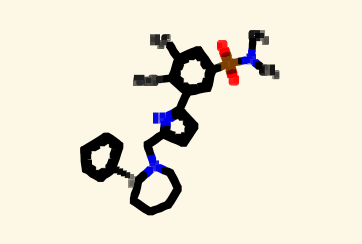 COc1c(C)cc(S(=O)(=O)N(C)C)cc1-c1ccc(CN2CCCCC[C@@H]2c2ccccc2)[nH]1